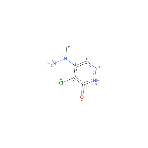 CN(N)c1cn[nH]c(=O)c1Cl